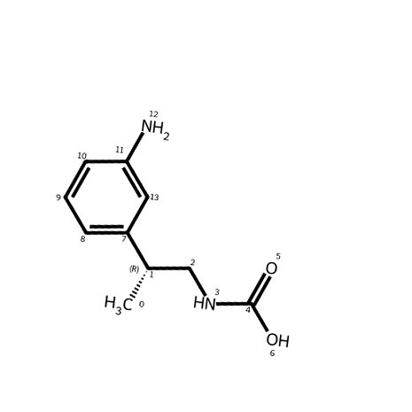 C[C@@H](CNC(=O)O)c1cccc(N)c1